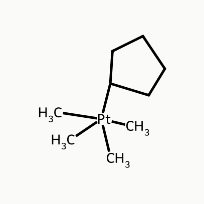 [CH3][Pt]([CH3])([CH3])([CH3])[CH]1CCCC1